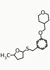 CC1CCC(SCc2cccc(OCC3CCOCC3)c2)O1